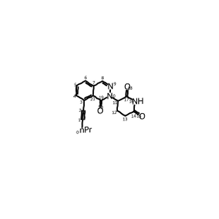 CCCC#Cc1cccc2cnn(C3CCC(=O)NC3=O)c(=O)c12